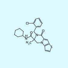 CC1(C(=O)NC2CCCCC2)Cn2c(cc3sccc32)C(=O)N1Cc1ccccc1Cl